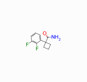 NC(=O)C1(c2cccc(F)c2F)CCC1